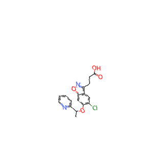 CC(Oc1cc2onc(CCC(=O)O)c2cc1Cl)c1ccccn1